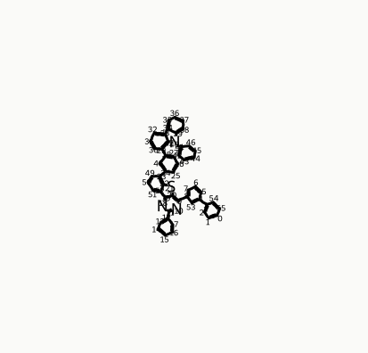 c1ccc(-c2cccc(-c3nc(-c4ccccc4)nc4c3sc3c(-c5cccc(-c6cccc7c8ccccc8n(-c8ccccc8)c67)c5)cccc34)c2)cc1